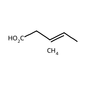 C.CC=CCC(=O)O